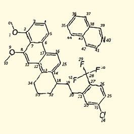 COc1cccc2c1c(OC)cc1c3c(ccc12)C(CCc1cc(Cl)ccc1C(F)(F)F)CCC3.c1ccc2cnccc2c1